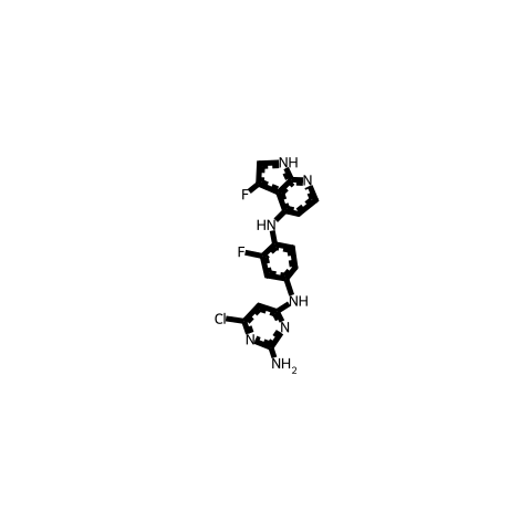 Nc1nc(Cl)cc(Nc2ccc(Nc3ccnc4[nH]cc(F)c34)c(F)c2)n1